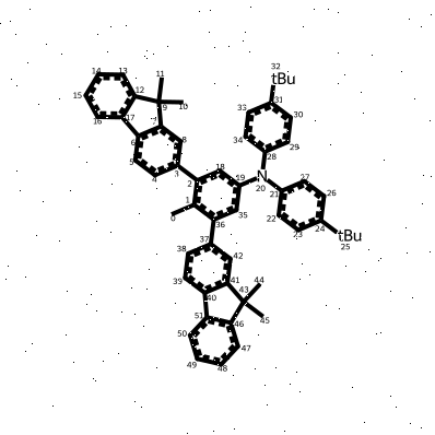 Cc1c(-c2ccc3c(c2)C(C)(C)c2ccccc2-3)cc(N(c2ccc(C(C)(C)C)cc2)c2ccc(C(C)(C)C)cc2)cc1-c1ccc2c(c1)C(C)(C)c1ccccc1-2